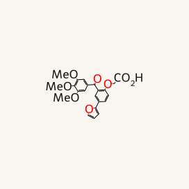 COc1cc(C(=O)c2cc(-c3ccco3)ccc2OCC(=O)O)cc(OC)c1OC